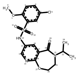 COc1ccc(Cl)cc1S(=O)(=O)Nc1cnc2c(c1)C(=O)N(C(C)C)CCO2